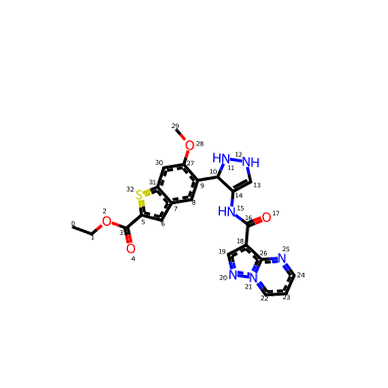 CCOC(=O)c1cc2cc(C3NNC=C3NC(=O)c3cnn4cccnc34)c(OC)cc2s1